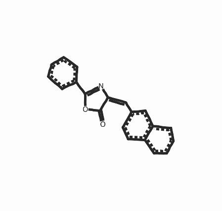 O=C1OC(c2ccccc2)=N/C1=C/c1ccc2ccccc2c1